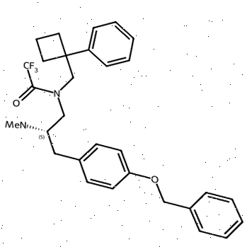 CN[C@@H](Cc1ccc(OCc2ccccc2)cc1)CN(CC1(c2ccccc2)CCC1)C(=O)C(F)(F)F